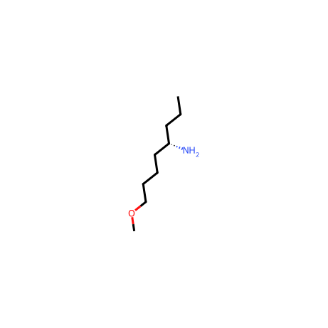 CCC[C@H](N)CCCCOC